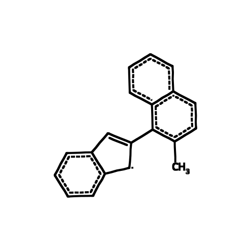 Cc1ccc2ccccc2c1C1=Cc2ccccc2[CH]1